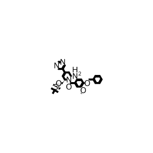 COc1cc(C(=O)N2CCC(c3cncnc3)=C[C@H]2CO[Si](C)(C)C(C)(C)C)c(N)cc1OCc1ccccc1